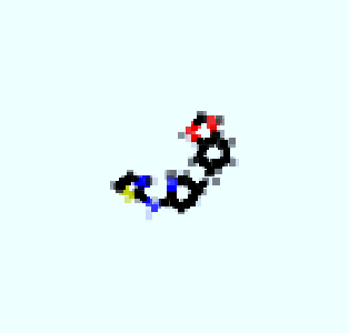 c1csc(Nc2ccc(Cc3ccc4c(c3)OCO4)cn2)n1